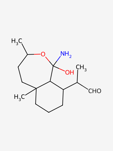 CC1CCC2(C)CCCC(C(C)C=O)C2C(N)(O)O1